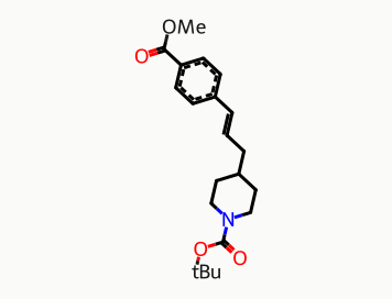 COC(=O)c1ccc(/C=C/CC2CCN(C(=O)OC(C)(C)C)CC2)cc1